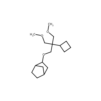 COCC(COC)(COC1CC2CCC1C2)C1CCC1